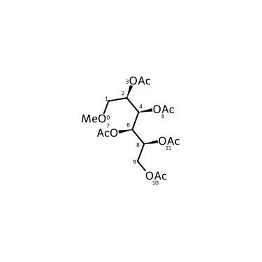 COC[C@@H](OC(C)=O)[C@@H](OC(C)=O)[C@H](OC(C)=O)[C@H](COC(C)=O)OC(C)=O